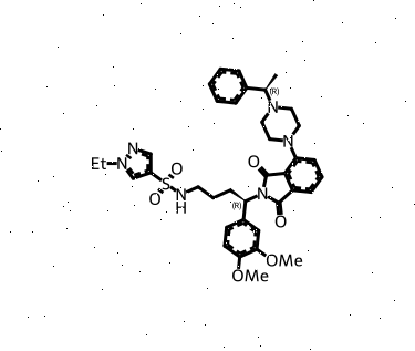 CCn1cc(S(=O)(=O)NCCC[C@H](c2ccc(OC)c(OC)c2)N2C(=O)c3cccc(N4CCN([C@H](C)c5ccccc5)CC4)c3C2=O)cn1